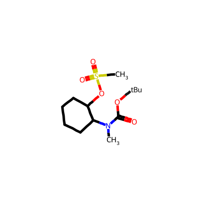 CN(C(=O)OC(C)(C)C)C1CCCCC1OS(C)(=O)=O